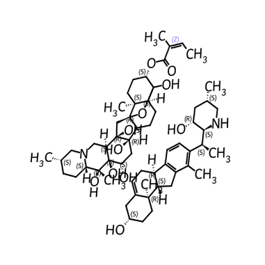 C/C=C(/C)C(=O)O[C@H]1CC[C@@]2(C)[C@@H]3CC[C@H]4[C@]5(O)C[C@H](O)[C@@]6(O)[C@@H](CN7C[C@@H](C)CC[C@H]7[C@@]6(C)O)[C@]5(O)C[C@@]42OC13O.Cc1c([C@H](C)[C@@H]2NC[C@@H](C)C[C@H]2O)ccc2c1C[C@H]1[C@H]2CC=C2C[C@@H](O)CC[C@@]21C